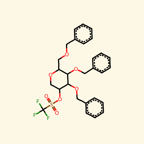 O=S(=O)(OC1COC(COCc2ccccc2)C(OCc2ccccc2)C1OCc1ccccc1)C(F)(F)F